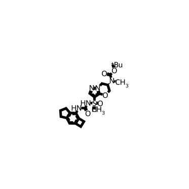 CN(C(=O)OC(C)(C)C)[C@@H]1COc2c([SH](C)(=O)NC(=O)Nc3c4c(cc5c3CC5)CCC4)cnn2C1